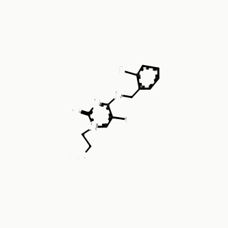 O=c1nc(NCc2ccccc2F)c(F)cn1CCO